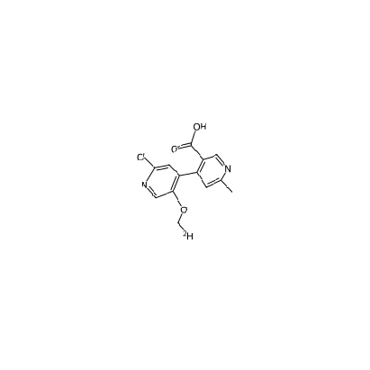 [2H]COc1cnc(Cl)cc1-c1cc(C)ncc1C(=O)O